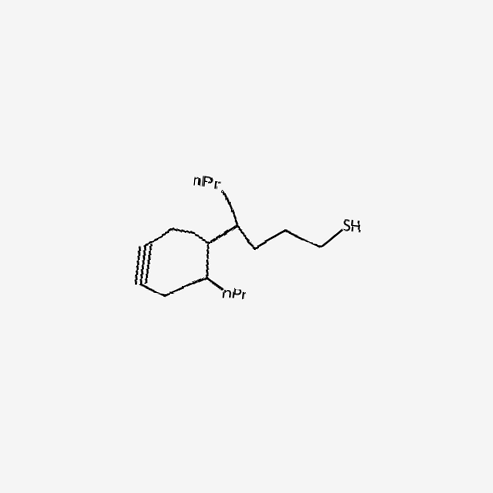 CCCC1CC#CCC1C(CCC)CCCS